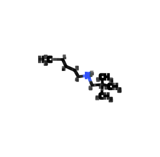 CCCCC[N]CC(C)(C)C